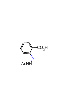 CC(=O)NNc1ccccc1C(=O)O